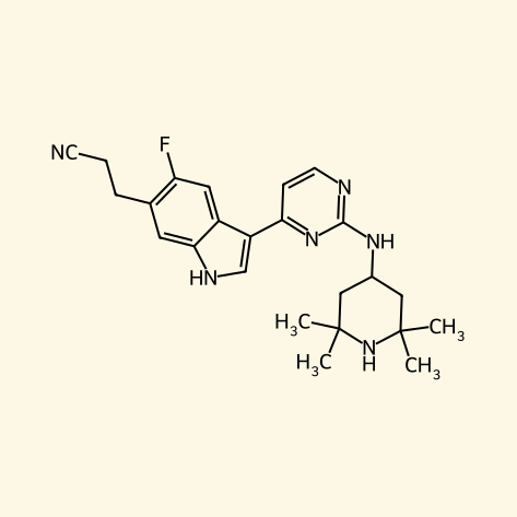 CC1(C)CC(Nc2nccc(-c3c[nH]c4cc(CCC#N)c(F)cc34)n2)CC(C)(C)N1